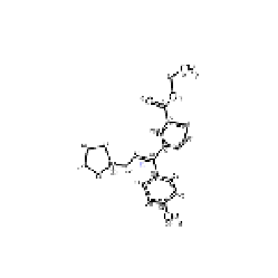 CCOC(=O)c1cccc(/C(=C/CN2CCCC2)c2ccc(C)cc2)n1